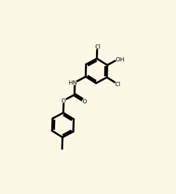 Cc1ccc(OC(=O)Nc2cc(Cl)c(O)c(Cl)c2)cc1